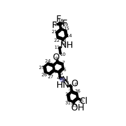 O=C(N/N=C/c1ccc(OCCNc2ccc(C(F)(F)F)cc2)c2ccccc12)c1ccc(O)c(Cl)c1